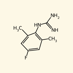 Cc1cc(F)cc(C)c1NC(=N)N